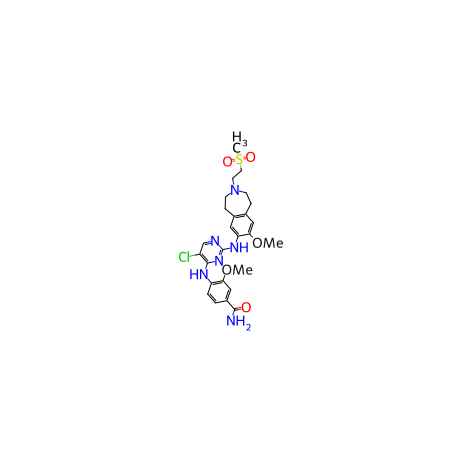 COc1cc2c(cc1Nc1ncc(Cl)c(Nc3ccc(C(N)=O)cc3OC)n1)CCN(CCS(C)(=O)=O)CC2